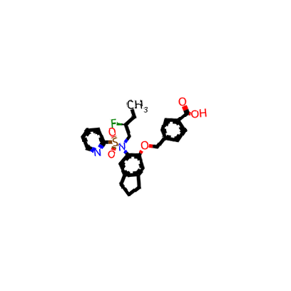 CC[C@H](F)CN(c1cc2c(cc1OCc1ccc(C(=O)O)cc1)CCC2)S(=O)(=O)c1ccccn1